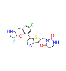 Cc1cc(Cl)cc(-c2ccnc3cc(CN4C(=O)CCNC4=O)sc23)c1O[C@@H]1CNC[C@@H]1F